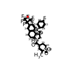 CC1=CC(C(=O)N2CC[C@@]3(S(=O)(=O)c4ccc(F)cc4)c4ccc(C(F)(C(F)(F)F)C(F)(F)F)cc4CC[C@@H]23)CCS1(=O)=O